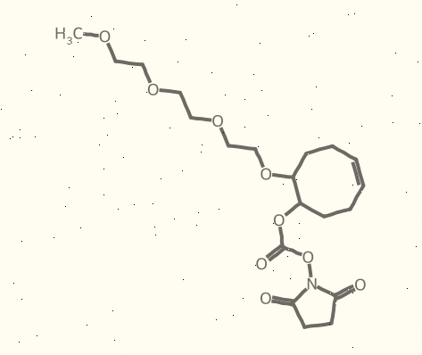 COCCOCCOCCOC1CCC=CCCC1OC(=O)ON1C(=O)CCC1=O